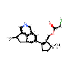 CC1Cc2cc(C3=C(COC(=O)CCl)[C@H](C)CC3)cc3cncc1c23